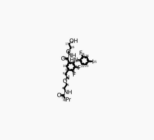 CC(C)C(=O)NCCO/N=C/c1cc(C(=O)NOCCO)c(Nc2ccc(I)cc2F)c(F)c1F